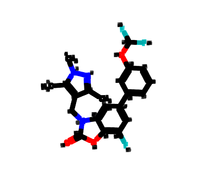 Cc1nn(C)c(C)c1Cn1c(=O)oc2c(F)cc(-c3cccc(OC(F)F)c3)cc21